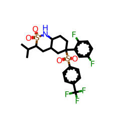 CC(C)C1CC2CC(c3cc(F)ccc3F)(S(=O)(=O)c3ccc(C(F)(F)F)cc3)CCC2NS1(=O)=O